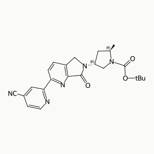 C[C@@H]1C[C@@H](N2Cc3ccc(-c4cc(C#N)ccn4)nc3C2=O)CN1C(=O)OC(C)(C)C